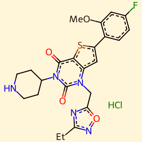 CCc1noc(Cn2c(=O)n(C3CCNCC3)c(=O)c3sc(-c4ccc(F)cc4OC)cc32)n1.Cl